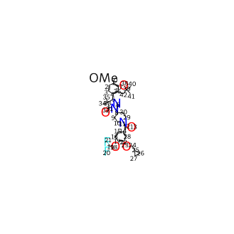 COc1ccc(C2=NN(C3CCN(C(=O)c4ccc(OC(F)F)c(OCC5CC5)c4)CC3)C(=O)C2(C)C)c2c1OC(C)(C)C2